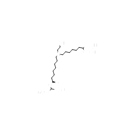 CCCCCCCCC(CCCCCCCC)OC(=O)CCCCCCCN(CCO)CCCCCCC(C(=O)O)C(=O)O